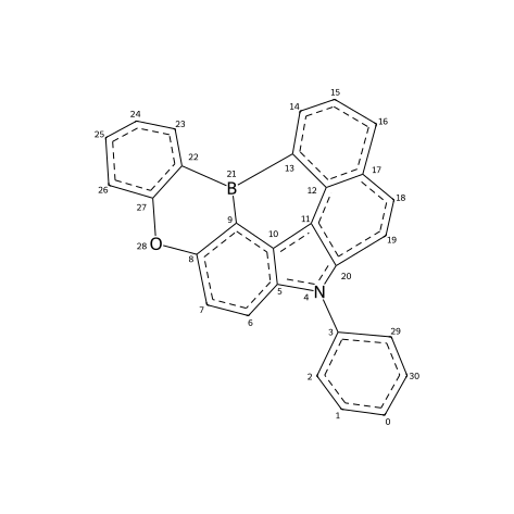 c1ccc(-n2c3ccc4c5c3c3c6c(cccc6ccc32)B5c2ccccc2O4)cc1